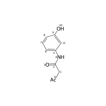 CC(=O)CC(=O)Nc1cccc(O)c1